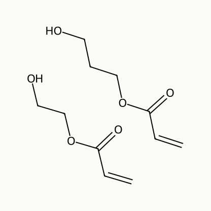 C=CC(=O)OCCCO.C=CC(=O)OCCO